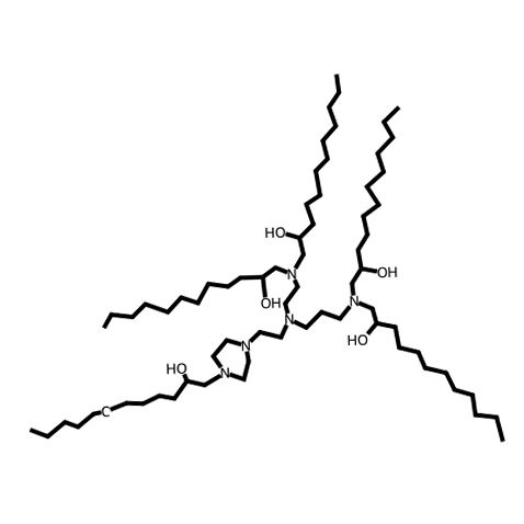 CCCCCCCCCCC(O)CN1CCN(CCN(CCCN(CC(O)CCCCCCCCCC)CC(O)CCCCCCCCCC)CCN(CC(O)CCCCCCCCCC)CC(O)CCCCCCCCCC)CC1